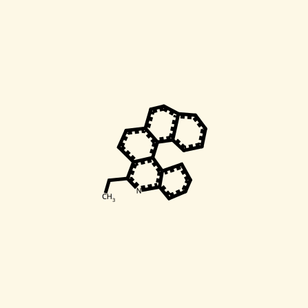 CCc1nc2ccccc2c2c1ccc1ccc3ccccc3c12